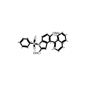 COc1ccc2c(cc(C=O)n2S(=O)(=O)c2ccccc2)c1-c1nccc2ccccc12